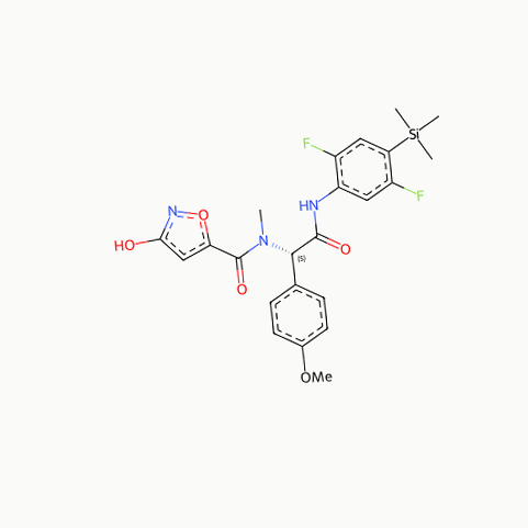 COc1ccc([C@@H](C(=O)Nc2cc(F)c([Si](C)(C)C)cc2F)N(C)C(=O)c2cc(O)no2)cc1